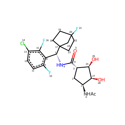 CC(=O)N[C@H]1C[C@H](C(=O)N[C@H](c2c(F)ccc(Cl)c2F)C23CCC(F)(CC2)C3)[C@@H](O)[C@H]1O